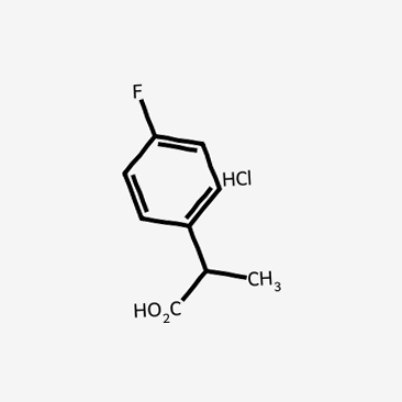 CC(C(=O)O)c1ccc(F)cc1.Cl